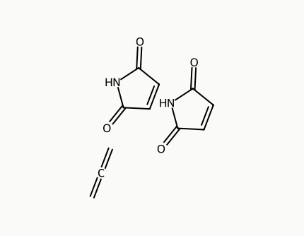 C=C=C.O=C1C=CC(=O)N1.O=C1C=CC(=O)N1